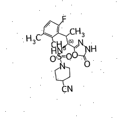 Cc1ccc(F)c(C(C)[C@H](NS(=O)(=O)N2CCC(C#N)CC2)c2n[nH]c(=O)o2)c1C